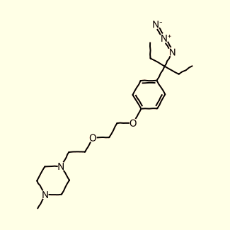 CCC(CC)(N=[N+]=[N-])c1ccc(OCCOCCN2CCN(C)CC2)cc1